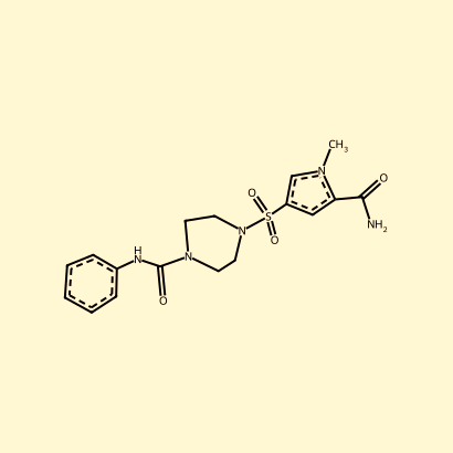 Cn1cc(S(=O)(=O)N2CCN(C(=O)Nc3ccccc3)CC2)cc1C(N)=O